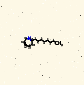 CCCCCCCCC1=NCC#CC=C1